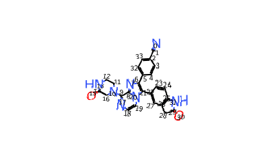 N#Cc1ccc(-c2nc3c(N4CCNC(=O)C4)nccn3c2-c2ccc3c(c2)CC(=O)N3)cc1